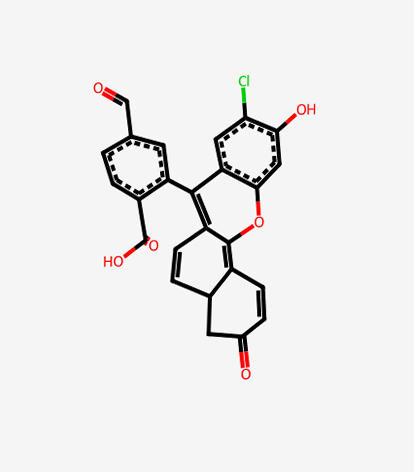 O=Cc1ccc(C(=O)O)c(C2=C3C=CC4CC(=O)C=CC4=C3Oc3cc(O)c(Cl)cc32)c1